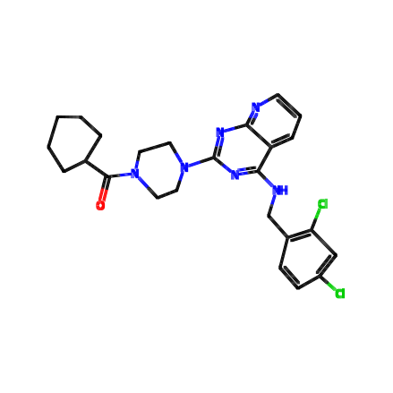 O=C(C1CCCCC1)N1CCN(c2nc(NCc3ccc(Cl)cc3Cl)c3cccnc3n2)CC1